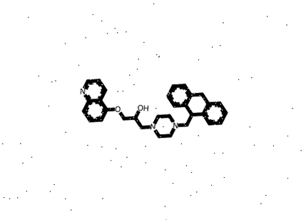 OC(COc1cccc2ncccc12)CN1CCN(CC2c3ccccc3Cc3ccccc32)CC1